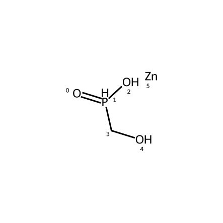 O=[PH](O)CO.[Zn]